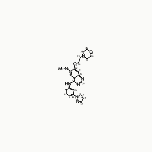 CNc1cc2c(Nc3cccc(-n4nccn4)c3)ncnc2cc1OCCN1CCOCC1